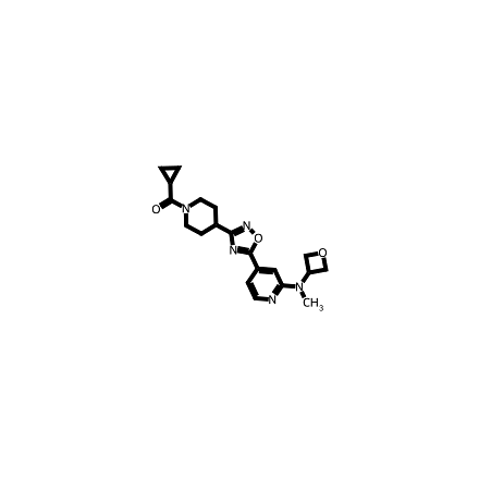 CN(c1cc(-c2nc(C3CCN(C(=O)C4CC4)CC3)no2)ccn1)C1COC1